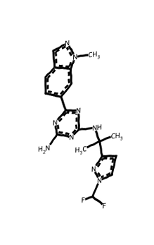 Cn1ncc2ccc(-c3nc(N)nc(NC(C)(C)c4ccn(C(F)F)n4)n3)cc21